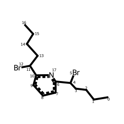 CCCCC(Br)c1cccc(C(Br)CCCC)n1